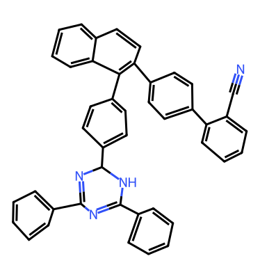 N#Cc1ccccc1-c1ccc(-c2ccc3ccccc3c2-c2ccc(C3N=C(c4ccccc4)N=C(c4ccccc4)N3)cc2)cc1